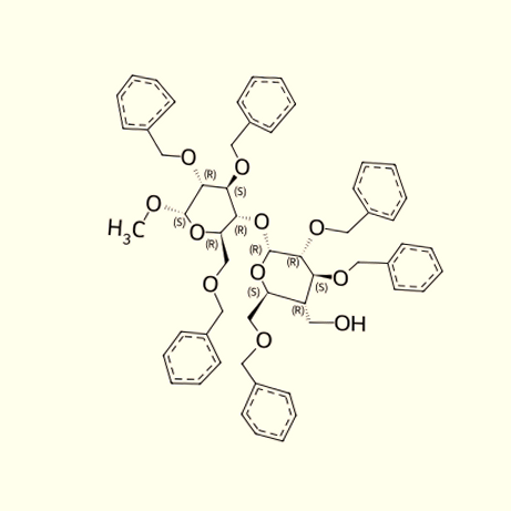 CO[C@H]1O[C@H](COCc2ccccc2)[C@@H](O[C@H]2O[C@H](COCc3ccccc3)[C@@H](CO)[C@H](OCc3ccccc3)[C@H]2OCc2ccccc2)[C@H](OCc2ccccc2)[C@H]1OCc1ccccc1